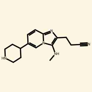 CNc1c(CCC#N)nc2ccc(C3CCNCC3)cn12